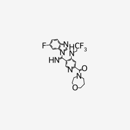 N=C(c1cnc(C(=O)N2CCCOCC2)cc1NCC(F)(F)F)n1cnc2ccc(F)cc21